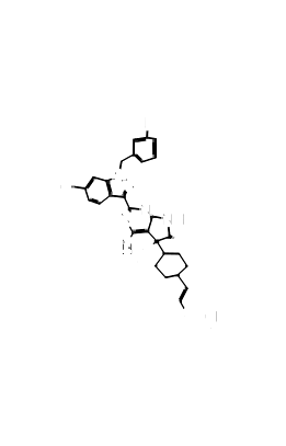 CC1(C2CCC(C=CC(=O)O)CC2)C(=O)Nc2nc(-c3nn(Cc4cccc(F)c4)c4cc(Cl)ccc34)nc(N)c21